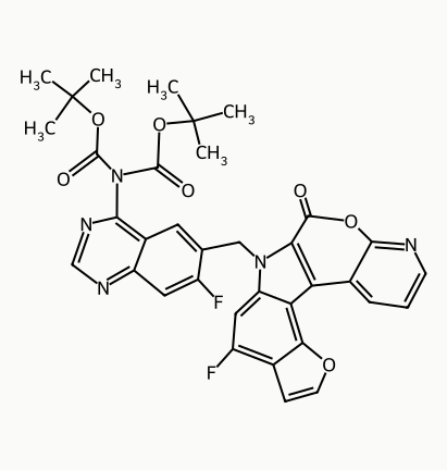 CC(C)(C)OC(=O)N(C(=O)OC(C)(C)C)c1ncnc2cc(F)c(Cn3c4cc(F)c5ccoc5c4c4c5cccnc5oc(=O)c43)cc12